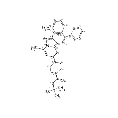 CCc1nn2c(C)cc(N3CCN(C(=O)OC(C)(C)C)CC3)nc2c1N=C(c1ccccc1)c1ccccc1